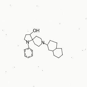 OC1CCN(c2ccccc2)C12CCN(C1CCC3CCCCC3C1)CC2